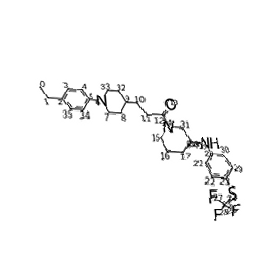 CCc1ccc(N2CCC(CCC(=O)N3CCC[C@H](Nc4ccc(SC(F)(F)F)cc4)C3)CC2)cc1